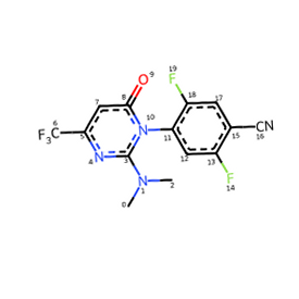 CN(C)c1nc(C(F)(F)F)cc(=O)n1-c1cc(F)c(C#N)cc1F